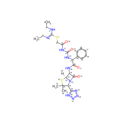 CCN=C(NCC)SCC(=O)NC(=O)NC(C(=O)NC1C(=O)N2C(c3nnn[nH]3)C(C)(C)S[C@@H]12)c1ccccc1